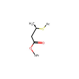 CCCOC(=O)C[C@@H](C)SC(C)=O